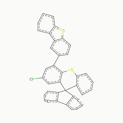 Clc1cc(-c2ccc3sc4ccccc4c3c2)c2c(c1)C1(c3ccccc3S2)c2ccccc2-c2ccccc21